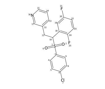 O=S(=O)(c1ccc(Cl)cc1)C(Cc1cccnc1)c1cc(F)ccc1F